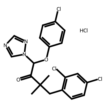 CC(C)(Cc1ccc(Cl)cc1Cl)C(=O)C(Oc1ccc(Cl)cc1)n1cncn1.Cl